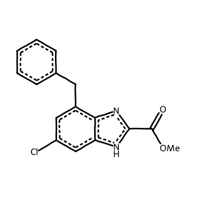 COC(=O)c1nc2c(Cc3ccccc3)cc(Cl)cc2[nH]1